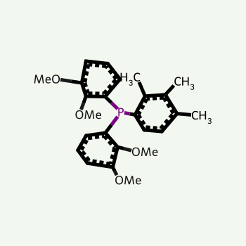 COc1cccc(P(c2ccc(C)c(C)c2C)c2cccc(OC)c2OC)c1OC